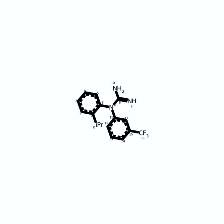 CC(C)c1ccccc1N(C(=N)N)c1cccc(C(F)(F)F)c1